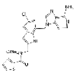 COc1ccsc1C(=O)NCc1cc2cc(Cl)cc(Cn3cnc4c(N)ncnc43)c2[nH]1